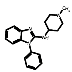 CN1CCC(Nc2nc3ccccc3n2-c2ccccc2)CC1